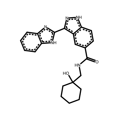 O=C(NCC1(O)CCCCC1)c1ccc2[nH]nc(-c3nc4ccccc4[nH]3)c2c1